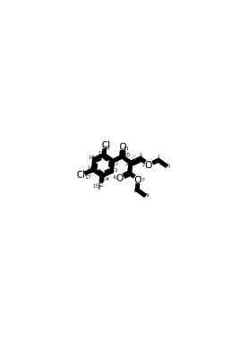 CCO/C=C(\C(=O)OCC)C(=O)c1cc(F)c(Cl)cc1Cl